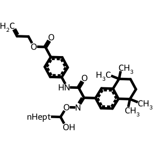 C=CCOC(=O)c1ccc(NC(=O)C(=NOC(O)CCCCCCC)c2ccc3c(c2)C(C)(C)CCC3(C)C)cc1